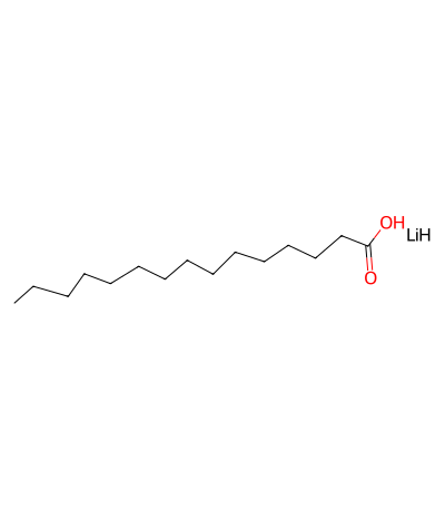 CCCCCCCCCCCCCCC(=O)O.[LiH]